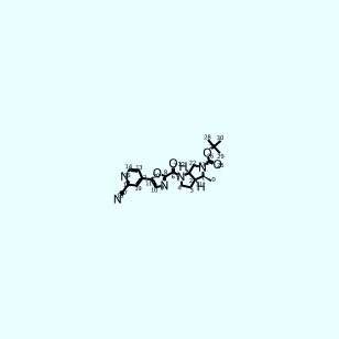 C[C@H]1[C@H]2CCN(C(=O)c3ncc(-c4ccnc(C#N)c4)o3)[C@H]2CN1C(=O)OC(C)(C)C